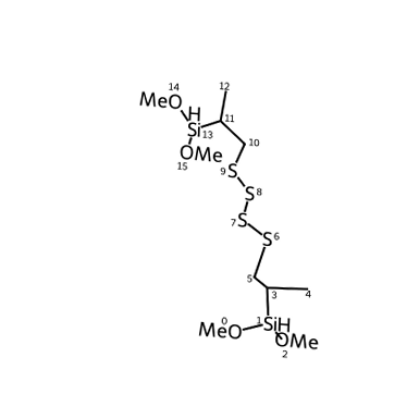 CO[SiH](OC)C(C)CSSSSCC(C)[SiH](OC)OC